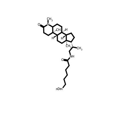 CCCCCCCCCCCCCCCC(=O)NCC(C)[C@H]1CC[C@H]2[C@@H]3CCC4N(C)C(=O)CC[C@]4(C)[C@H]3CC[C@]12C